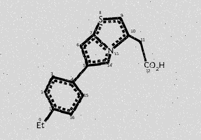 CCc1ccc(-c2cc3scc(CC(=O)O)n3c2)cc1